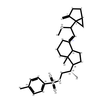 C=C1CCC2CC12C(/C=C1\CCCC2(C)C1CCC2[C@H](C)COS(=O)(=O)c1ccc(C)cc1)OC